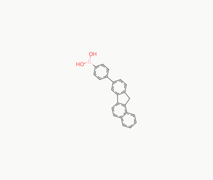 OB(O)c1ccc(-c2ccc3c(c2)-c2ccc4ccccc4c2C3)cc1